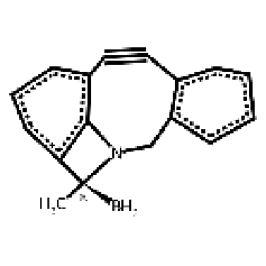 B[C@@]1(C)c2cccc3c2N1Cc1ccccc1C#C3